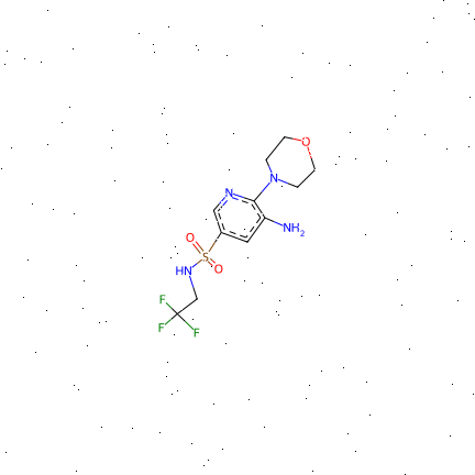 Nc1cc(S(=O)(=O)NCC(F)(F)F)cnc1N1CCOCC1